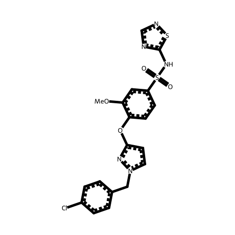 COc1cc(S(=O)(=O)Nc2ncns2)ccc1Oc1ccn(Cc2ccc(Cl)cc2)n1